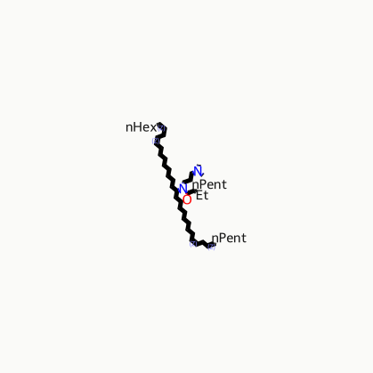 CCCCC/C=C\C/C=C\CCCCCCCCC(CCCCCCCC/C=C\C/C=C\CCCCCC)N(CCCN(C)C)C(=O)C(CC)CCCCC